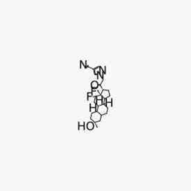 C[C@@]1(O)CCC2C(CC[C@@H]3[C@@H]2CC(F)(F)[C@]2(C)[C@@H](C(=O)Cn4cc(C#N)cn4)CC[C@@H]32)C1